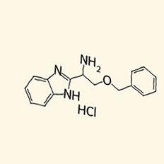 Cl.NC(COCc1ccccc1)c1nc2ccccc2[nH]1